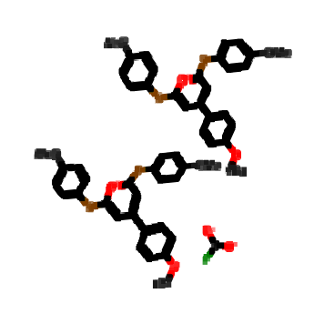 CCCCOc1ccc(-c2cc(Sc3ccc(OC)cc3)[o+]c(Sc3ccc(OC)cc3)c2)cc1.CCCCOc1ccc(-c2cc(Sc3ccc(OC)cc3)[o+]c(Sc3ccc(OC)cc3)c2)cc1.[O-]B([O-])F